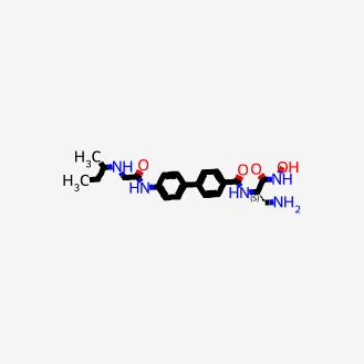 CCC(C)NCC(=O)Nc1ccc(-c2ccc(C(=O)N[C@@H](CN)C(=O)NO)cc2)cc1